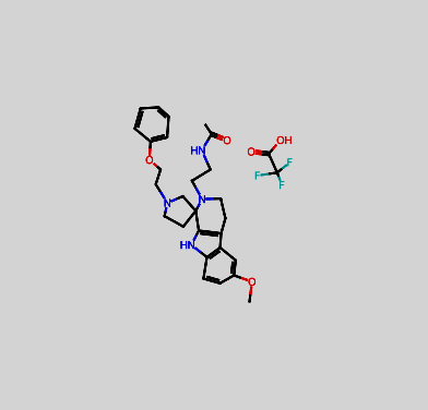 COc1ccc2[nH]c3c(c2c1)CCN(CCNC(C)=O)C31CCN(CCOc2ccccc2)C1.O=C(O)C(F)(F)F